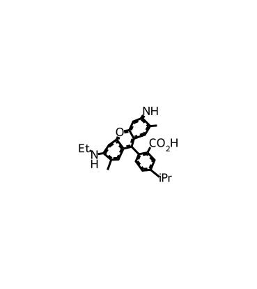 CCNc1cc2oc3cc(=N)c(C)cc-3c(-c3ccc(C(C)C)cc3C(=O)O)c2cc1C